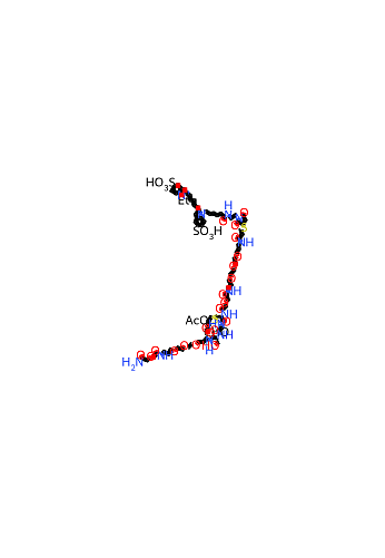 CC[N+]1=C(/C=C/C=C/C=C2\Cc3cc(S(=O)(=O)O)ccc3N2CCCCCC(=O)NCCN2C(=O)CC(SCCC(=O)NCCCOCCOCCOCCCNC(=O)COCC(=O)N[C@@H](CSC[C@@H](COC=O)OC(C)=O)C(=O)NCC(=O)N[C@H](CO)C(=O)NCCCOCCOCCOCCCNC(=O)COCC(N)=O)C2=O)Cc2cc(S(=O)(=O)O)ccc21